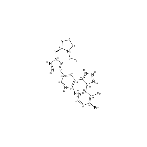 CCN1CCC[C@@H]1Cn1cc(-c2cnc(N)c(-c3nnnn3-c3cccc(F)c3F)c2)nn1